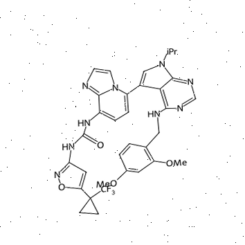 COc1ccc(CNc2ncnc3c2c(-c2ccc(NC(=O)Nc4cc(C5(C(F)(F)F)CC5)on4)c4nccn24)cn3C(C)C)c(OC)c1